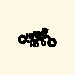 CC(C)C1N[C@@H]([C@H](O)[C@H](Cc2ccccc2)NC(=O)O)C(=O)N1Cc1ccccc1